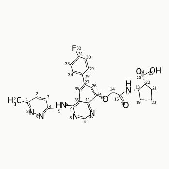 Cc1ccc(CNc2ncnc3c(OCC(=O)N[C@H]4CCC[C@H]4C(=O)O)cc(-c4ccc(F)cc4)cc23)nn1